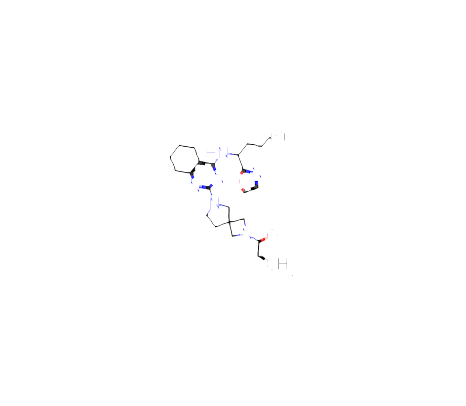 C=CC(=O)N1CC2(CCN(c3nc4c(c(NC(CCC(C)C)c5ncco5)n3)CCCC4)C2)C1